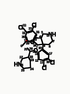 CCOC[C@H]1CNCC[C@]1(c1ccc(Cl)c(Cl)c1)[C@H](OC(C)C1CCCNC1)c1ccc(Cl)c(Cl)c1